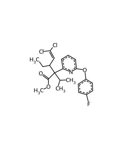 CCC(C=C(Cl)Cl)C(C(=O)OC)(c1cccc(Oc2ccc(F)cc2)n1)C(C)C